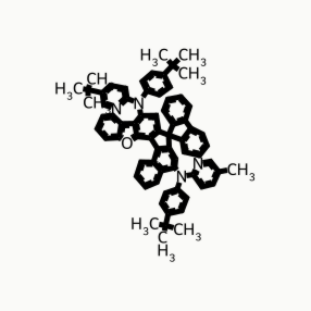 Cc1ccc(N(c2ccc(C(C)(C)C)cc2)c2cc3c(c4ccccc24)-c2c(cc(N(c4ccc(C(C)(C)C)cc4)c4ccc(C(C)(C)C)cn4)c4c2oc2ccccc24)C32c3ccccc3-c3ccccc32)nc1